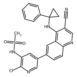 CS(=O)(=O)Nc1cc(-c2ccc3ncc(C#N)c(NC4(c5ccccc5)CC4)c3c2)cnc1Cl